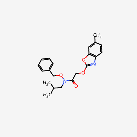 Cc1ccc2nc(OCC(=O)N(CC(C)C)OCc3ccccc3)oc2c1